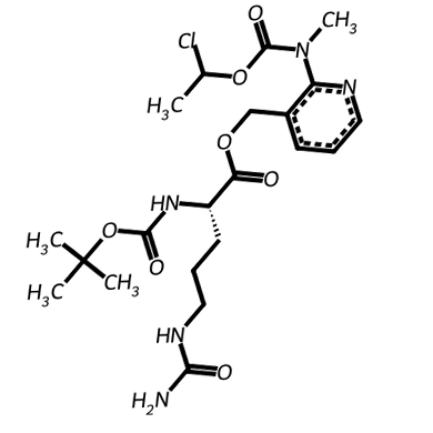 CC(Cl)OC(=O)N(C)c1ncccc1COC(=O)[C@H](CCCNC(N)=O)NC(=O)OC(C)(C)C